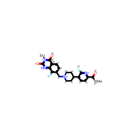 CCn1c(=O)[nH]c2c(F)c(CN3CCC(c4ccc(C(=O)NC)nc4F)CC3)ccc2c1=O